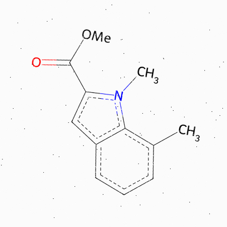 COC(=O)c1cc2cccc(C)c2n1C